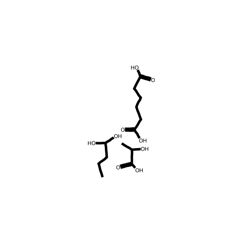 CC(O)C(=O)O.CCCC(O)O.O=C(O)CCCCC(=O)O